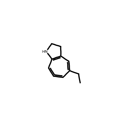 CCC1=CC2=C(C=C=C1)NCC2